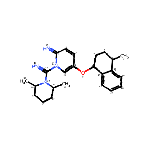 CC1CCC(Oc2ccc(=N)n(C(=N)N3C(C)CCCC3C)c2)c2ccccc21